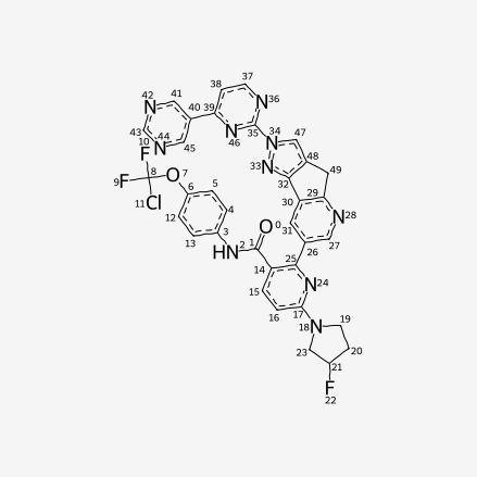 O=C(Nc1ccc(OC(F)(F)Cl)cc1)c1ccc(N2CCC(F)C2)nc1-c1cnc2c(c1)-c1nn(-c3nccc(-c4cncnc4)n3)cc1C2